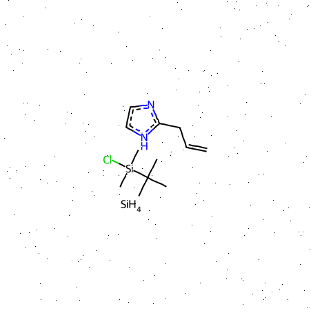 C=CCc1ncc[nH]1.CC(C)(C)[Si](C)(C)Cl.[SiH4]